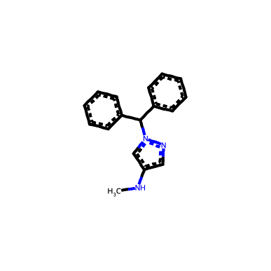 CNc1cnn(C(c2ccccc2)c2ccccc2)c1